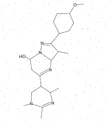 COC1CCC(C2=NN3C(O)CC(C4CN(C)C(C)=NC4C)=NC3C2C)CC1